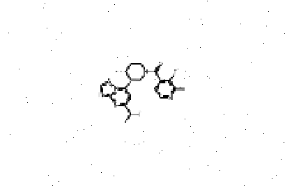 Cc1nccc(C(=O)N2CC[C@@H](C)[C@H](c3cc(C(F)F)nc4ncnn34)C2)c1F